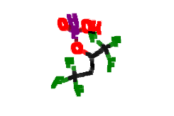 O=[PH](O)OC(CC(F)(F)F)C(F)(F)F